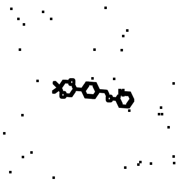 CC1(C)COC(c2ccc(COc3ccccn3)cc2)CO1